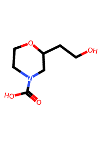 O=C(O)N1CCOC(CCO)C1